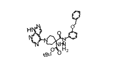 CC(C)(C)OC(=O)NC1(C(=O)N(N)c2cccc(OCc3ccccc3)c2)CCN(c2ncnc3[nH]ncc23)CC1